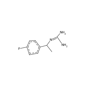 CC(N=C(N)N)c1ccc(F)cc1